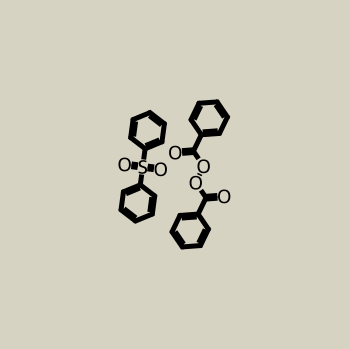 O=C(OOC(=O)c1ccccc1)c1ccccc1.O=S(=O)(c1ccccc1)c1ccccc1